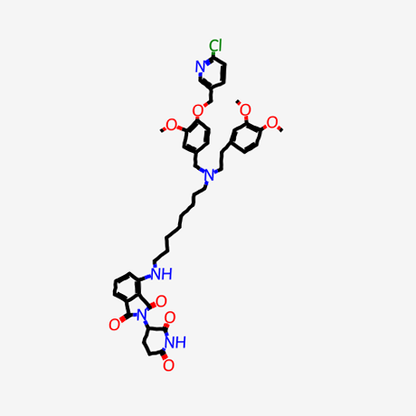 COc1ccc(CCN(CCCCCCCCNc2cccc3c2C(=O)N(C2CCC(=O)NC2=O)C3=O)Cc2ccc(OCc3ccc(Cl)nc3)c(OC)c2)cc1OC